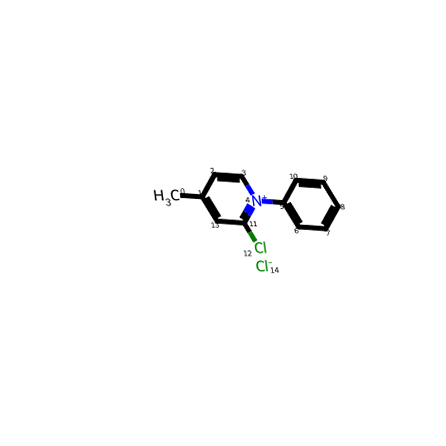 Cc1cc[n+](-c2ccccc2)c(Cl)c1.[Cl-]